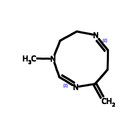 C=C1C/C=N\CCN(C)/C=N\1